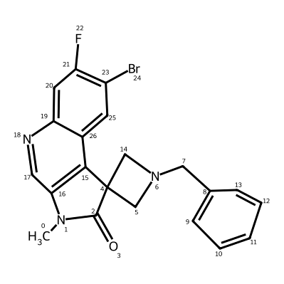 CN1C(=O)C2(CN(Cc3ccccc3)C2)c2c1cnc1cc(F)c(Br)cc21